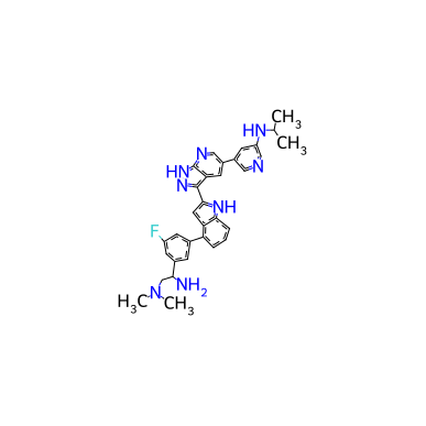 CC(C)Nc1cncc(-c2cnc3[nH]nc(-c4cc5c(-c6cc(F)cc(C(N)CN(C)C)c6)cccc5[nH]4)c3c2)c1